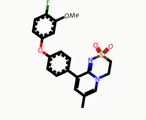 COc1cc(Oc2ccc(C3=CC(C)=CN4CCS(=O)(=O)N=C34)cc2)ccc1F